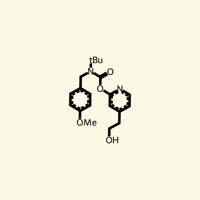 COc1ccc(CN(C(=O)Oc2cc(CCO)ccn2)C(C)(C)C)cc1